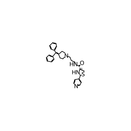 O=C(NCCCN1CCC(=C(c2ccccc2)c2ccccc2)CC1)[C@@H]1CSC(c2ccncc2)N1